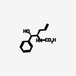 C=CC[C@@H](NC(=O)O)[C@@H](O)c1ccccc1